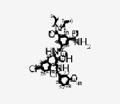 CCCN(CCC)C(=O)c1cc(C(N)=O)cc(C(=O)N[C@@H](Cc2cc(Cl)cc(Cl)c2)[C@H](O)CNCc2cccc(OC)c2)c1